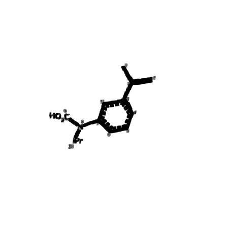 C=C(C)c1cccc(N(C(=O)O)C(C)C)c1